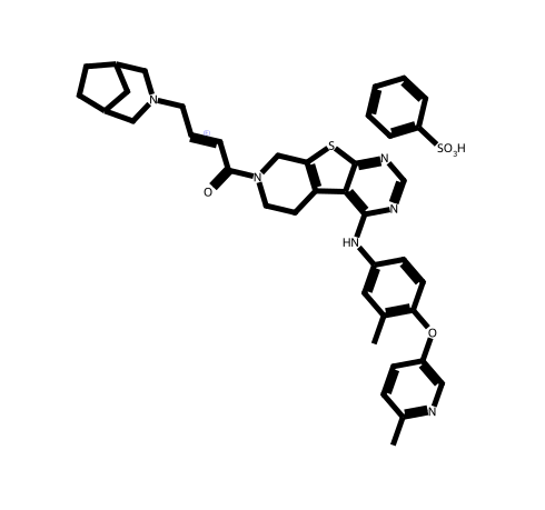 Cc1ccc(Oc2ccc(Nc3ncnc4sc5c(c34)CCN(C(=O)/C=C/CN3CC4CCC(C4)C3)C5)cc2C)cn1.O=S(=O)(O)c1ccccc1